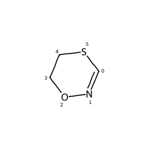 C1=NOCCS1